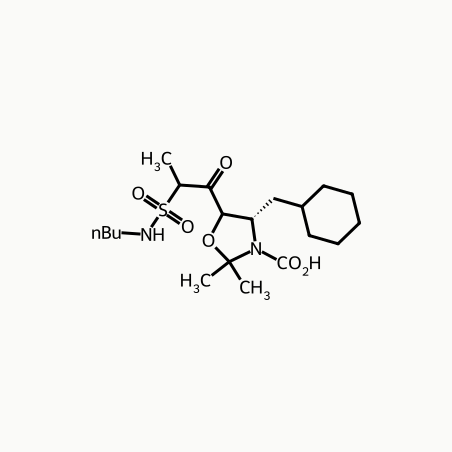 CCCCNS(=O)(=O)C(C)C(=O)C1OC(C)(C)N(C(=O)O)[C@H]1CC1CCCCC1